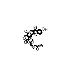 CCc1c2c(nc3ccc(O)cc13)-c1cc3c(c(=O)n1C2)COC(=O)[C@@]3(CC)OC(=O)CN(C)CC(=O)C(C)C